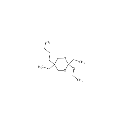 CCCCC1(CC)COC(CC)(OCC)OC1